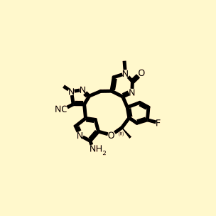 C[C@H]1Oc2cc(cnc2N)-c2c(nn(C)c2C#N)Cc2cn(C)c(=O)nc2-c2ccc(F)cc21